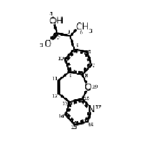 CC(C(=O)O)c1ccc2c(c1)CCc1cccnc1O2